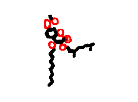 CCCCCCCCCCOc1c(OCC=C(C)CCC=C(C)C)c(=O)oc2cc(OC(C)=O)ccc12